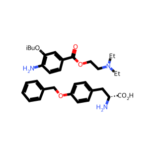 CCN(CC)CCOC(=O)c1ccc(N)c(OCC(C)C)c1.N[C@H](Cc1ccc(OCc2ccccc2)cc1)C(=O)O